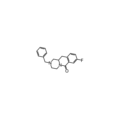 O=C1c2cc(F)ccc2CC2CN(Cc3ccccc3)CCN12